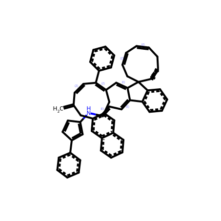 C=C1\C=C/C(c2ccccc2)=C(/C=C2\C(=C/C=C/NC3=C=C(c4ccccc4)C=C3)c3ccccc3C23C/C=C\C=C/Cc2ccccc23)Cc2cc3ccccc3cc2C1